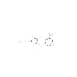 Cc1cncc(Nc2sc(C)nc2C(=O)O)c1